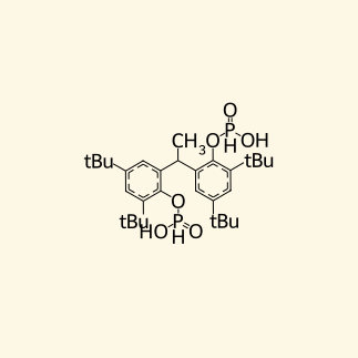 CC(c1cc(C(C)(C)C)cc(C(C)(C)C)c1O[PH](=O)O)c1cc(C(C)(C)C)cc(C(C)(C)C)c1O[PH](=O)O